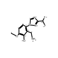 COc1ccc(-n2cnc(C(F)F)n2)c(CN)c1Cl